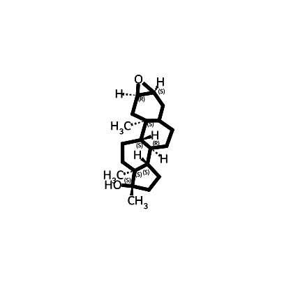 C[C@]12C[C@H]3O[C@H]3CC1CC[C@@H]1[C@@H]2CC[C@@]2(C)[C@H]1CC[C@]2(C)O